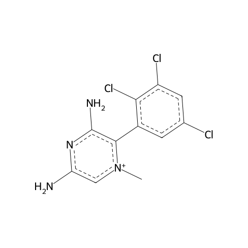 C[n+]1cc(N)nc(N)c1-c1cc(Cl)cc(Cl)c1Cl